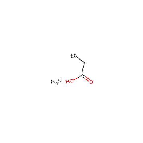 CCCC(=O)O.[SiH4]